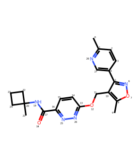 Cc1ccc(-c2noc(C)c2COc2ccc(C(=O)NC3(C)CCC3)nn2)cn1